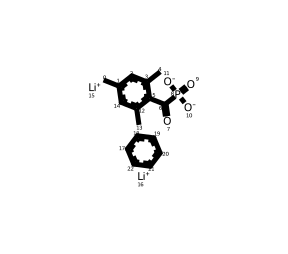 Cc1cc(C)c(C(=O)P(=O)([O-])[O-])c(C)c1.[Li+].[Li+].c1ccccc1